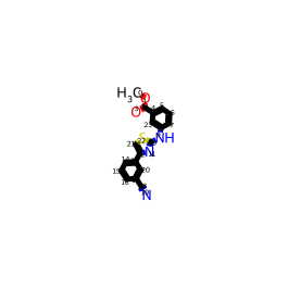 COC(=O)c1cccc(Nc2nc(-c3cccc(C#N)c3)cs2)c1